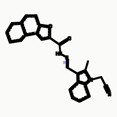 Cc1c(/C=N/NC(=O)c2cc3c(ccc4ccccc43)o2)c2ccccc2n1CC#N